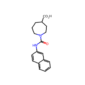 O=C(O)C1CCCN(C(=O)Nc2ccc3ccccc3c2)CC1